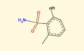 CCCc1cccc(C)c1S(N)(=O)=O